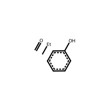 C=O.CCC.Oc1ccccc1